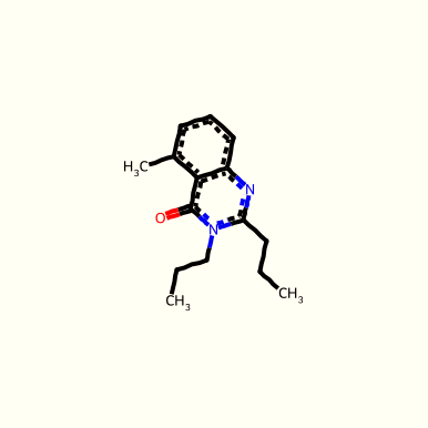 CCCc1nc2cccc(C)c2c(=O)n1CCC